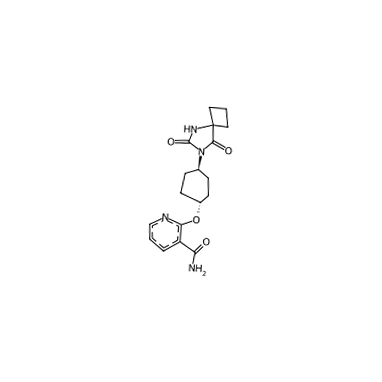 NC(=O)c1cccnc1O[C@H]1CC[C@H](N2C(=O)NC3(CCC3)C2=O)CC1